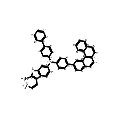 C/C=C\c1c(N)oc2cc(N(c3ccc(-c4ccccc4)cc3)c3ccc(-c4ccc5ccc6ccc7ccccc7c6c5c4)cc3)ccc12